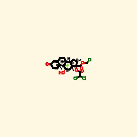 C[C@H]1C[C@H]2[C@@H]3CCC4=CC(=O)C=C[C@]4(C)[C@@]3(F)[C@@H](O)C[C@]2(C)[C@@]1(OC(=O)C(Cl)Cl)C(=O)OCCl